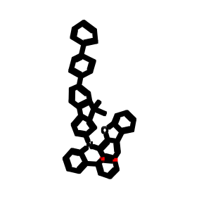 CC1(C)c2cc(-c3ccc(-c4ccccc4)cc3)ccc2-c2ccc(N(c3ccccc3-c3ccccc3)c3cccc4c3oc3ccccc34)cc21